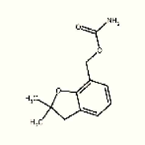 CC1(C)Cc2cccc(COC(N)=O)c2O1